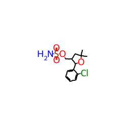 CC1(C)CC(COS(N)(=O)=O)C(c2ccccc2Cl)O1